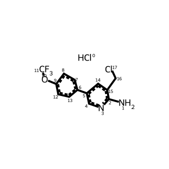 Cl.Nc1ncc(-c2ccc(OC(F)(F)F)cc2)cc1CCl